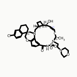 C[C@H]1C/C=C/[C@H](O)[C@@H]2CC[C@H]2CN2C[C@@]3(CCCc4cc(Cl)ccc43)COc3ccc(cc32)C(=O)NS(=O)(=O)N1CCN1CCOCC1